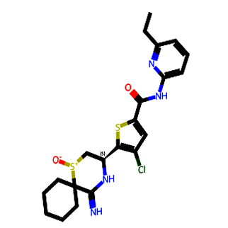 CCc1cccc(NC(=O)c2cc(Cl)c([C@@H]3C[S+]([O-])C4(CCCCC4)C(=N)N3)s2)n1